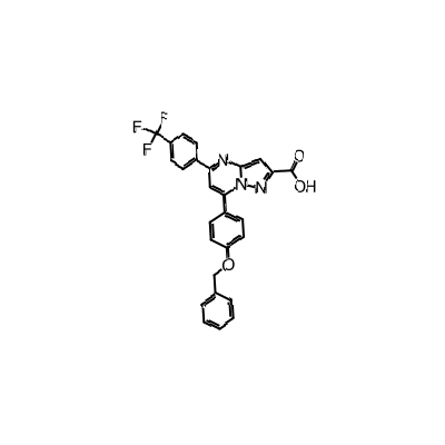 O=C(O)c1cc2nc(-c3ccc(C(F)(F)F)cc3)cc(-c3ccc(OCc4ccccc4)cc3)n2n1